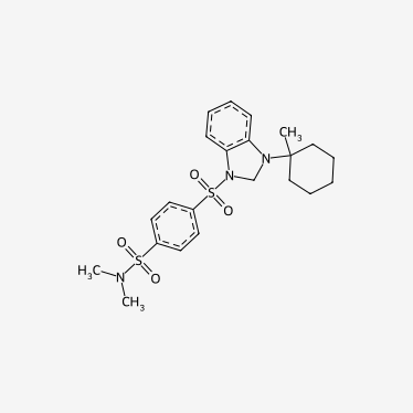 CN(C)S(=O)(=O)c1ccc(S(=O)(=O)N2CN(C3(C)CCCCC3)c3ccccc32)cc1